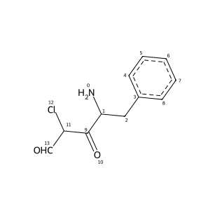 NC(Cc1ccccc1)C(=O)C(Cl)C=O